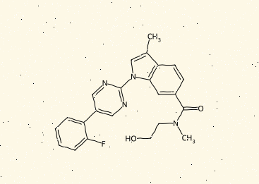 Cc1cn(-c2ncc(-c3ccccc3F)cn2)c2cc(C(=O)N(C)CCO)ccc12